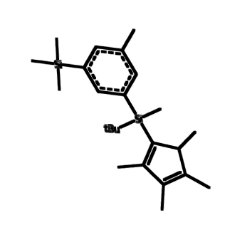 CC1=C(C)C(C)C([Si](C)(c2cc(C)cc([Si](C)(C)C)c2)C(C)(C)C)=C1C